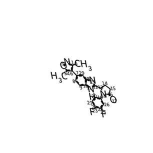 Cc1noc(C)c1-c1ccc2[nH]c(C3CCC(=O)N3c3ccc(F)c(F)c3)nc2c1